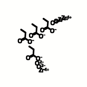 CCC(=O)[O-].CCC(=O)[O-].CCC(=O)[O-].CCC(=O)[O-].[O-2].[O-2].[O-2].[O-2].[Zr+4].[Zr+4].[Zr+4]